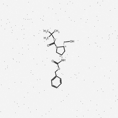 CC(C)(C)OC(=O)N1C[C@@H](NC(=O)OCc2ccccc2)C[C@H]1CO